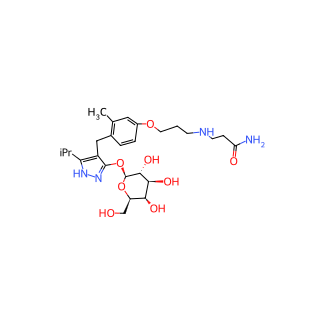 Cc1cc(OCCCNCCC(N)=O)ccc1Cc1c(O[C@@H]2O[C@H](CO)[C@H](O)[C@H](O)[C@H]2O)n[nH]c1C(C)C